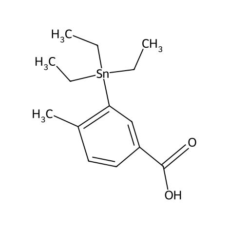 C[CH2][Sn]([CH2]C)([CH2]C)[c]1cc(C(=O)O)ccc1C